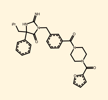 CC(C)CC1(c2ccccc2)NC(=N)N(Cc2cccc(C(=O)N3CCN(C(=O)c4ccco4)CC3)c2)C1=O